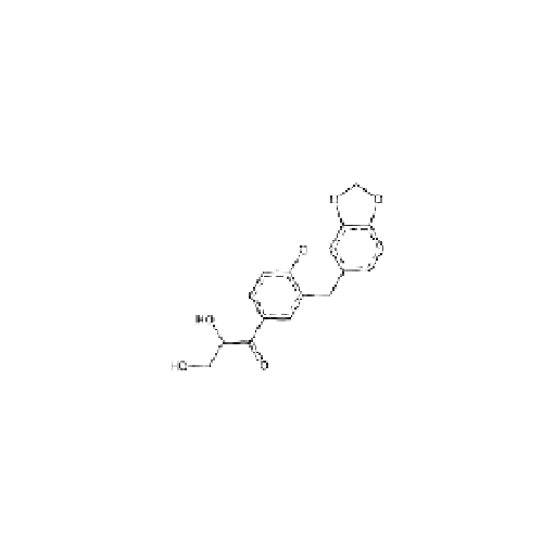 O=C(c1ccc(Cl)c(Cc2ccc3c(c2)OCO3)c1)C(O)CO